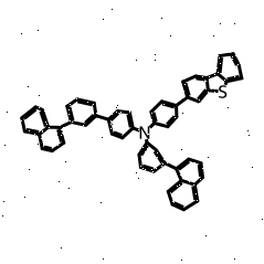 c1cc(-c2ccc(N(c3ccc(-c4ccc5c(c4)sc4ccccc45)cc3)c3cccc(-c4cccc5ccccc45)c3)cc2)cc(-c2cccc3ccccc23)c1